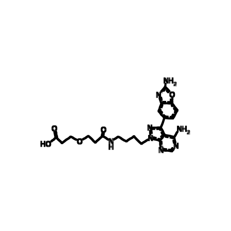 Nc1nc2cc(-c3nn(CCCCNC(=O)CCOCCC(=O)O)c4ncnc(N)c34)ccc2o1